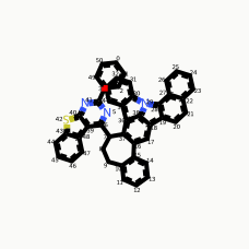 c1ccc(-c2nc(C3CCc4ccccc4-c4cc5c6ccc7ccccc7c6n6c7ccccc7c(c43)c56)c3c(n2)sc2ccccc23)cc1